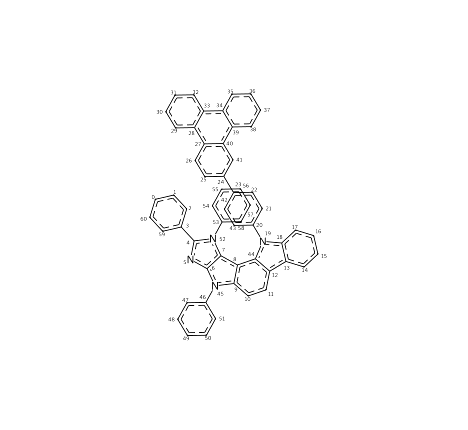 c1ccc(-c2nc3c(c4c(ccc5c6ccccc6n(-c6ccc(-c7ccc8c9ccccc9c9ccccc9c8c7)cc6)c54)n3-c3ccccc3)n2-c2ccccc2)cc1